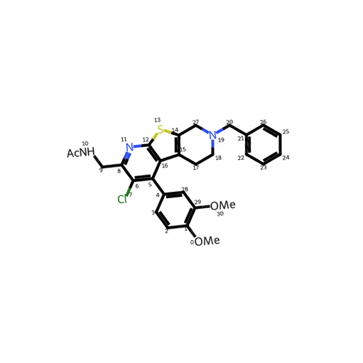 COc1ccc(-c2c(Cl)c(CNC(C)=O)nc3sc4c(c23)CCN(Cc2ccccc2)C4)cc1OC